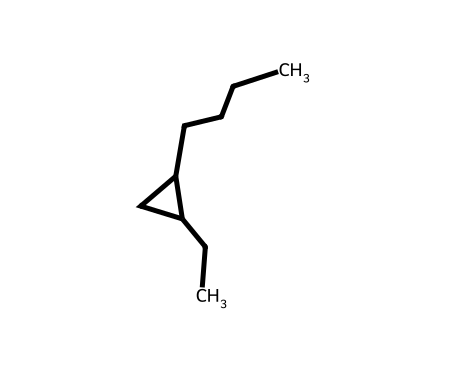 CCCCC1CC1CC